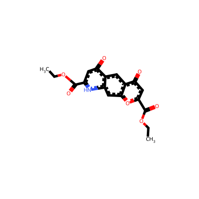 CCOC(=O)c1cc(=O)c2cc3c(=O)cc(C(=O)OCC)oc3cc2[nH]1